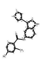 Cc1cc(C#N)cnc1C(=O)Nc1ccc2[nH]nc(-c3cnsc3)c2c1